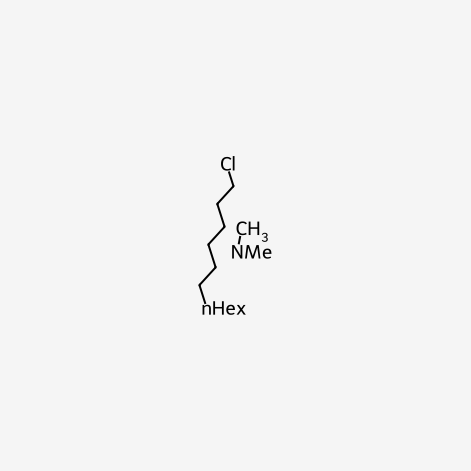 CCCCCCCCCCCCCl.CNC